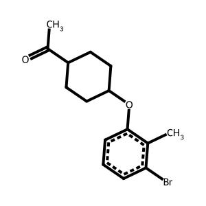 CC(=O)C1CCC(Oc2cccc(Br)c2C)CC1